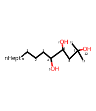 CCCCCCCCCCC(O)C(O)CC(C)(C)O